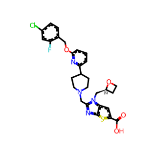 O=C(O)c1cc2c(nc(CN3CCC(c4cccc(OCc5ccc(Cl)cc5F)n4)CC3)n2C[C@@H]2CCO2)s1